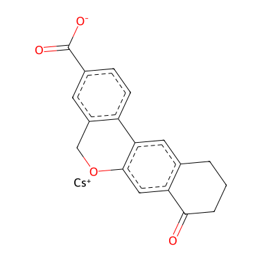 O=C([O-])c1ccc2c(c1)COc1cc3c(cc1-2)CCCC3=O.[Cs+]